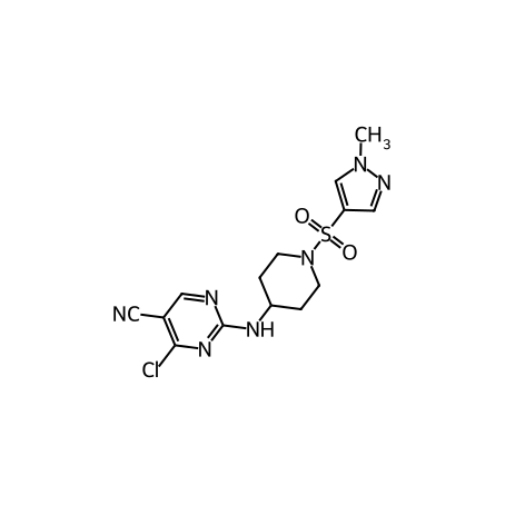 Cn1cc(S(=O)(=O)N2CCC(Nc3ncc(C#N)c(Cl)n3)CC2)cn1